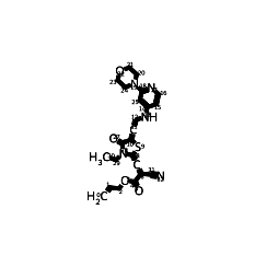 C=CCOC(=O)C(=C=c1sc(=C=CNc2ccnc(N3CCOCC3)c2)c(=O)n1CC)C#N